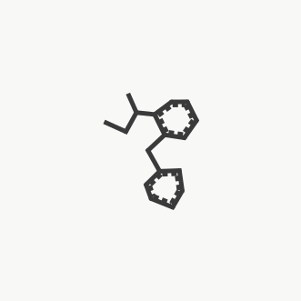 CCC(C)c1ccccc1Cc1ccccc1